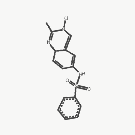 CC1=NC2C=CC(NS(=O)(=O)c3ccccc3)=CC2=CN1Cl